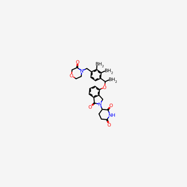 Bc1c(CN2CCOCC2=O)ccc(C(B)Oc2cccc3c2CN(C2CCC(=O)NC2=O)C3=O)c1B